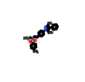 CCCCc1c(-c2ccccc2)c(C)nn1-c1ccc(CCN(C(=O)O)S(=O)(=O)c2ccc(C)cc2)cc1